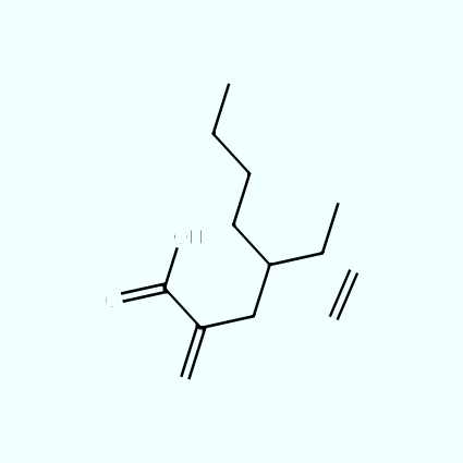 C=C.C=C(CC(CC)CCCC)C(=O)O